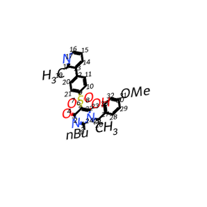 CCCCc1nc(=O)c(S(=O)(=O)c2ccc(-c3cccnc3C)cc2)c(O)n1[C@@H](C)c1ccc(OC)cc1